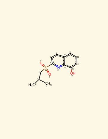 CC(C)CS(=O)(=O)c1ccc2cccc(O)c2n1